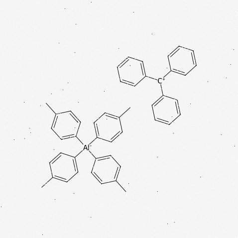 Cc1cc[c]([Al-]([c]2ccc(C)cc2)([c]2ccc(C)cc2)[c]2ccc(C)cc2)cc1.c1ccc([C+](c2ccccc2)c2ccccc2)cc1